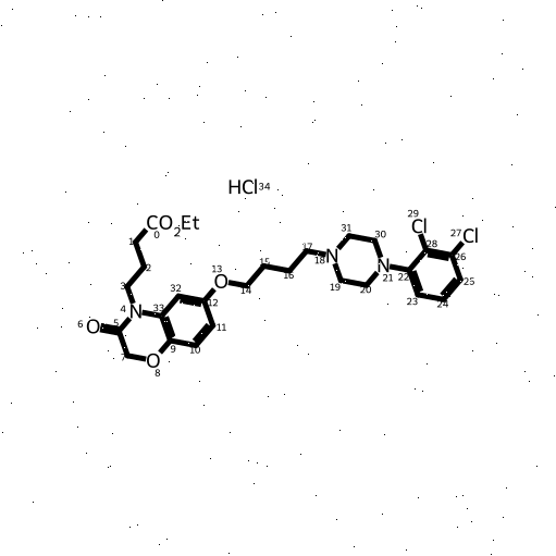 CCOC(=O)CCCN1C(=O)COc2ccc(OCCCCN3CCN(c4cccc(Cl)c4Cl)CC3)cc21.Cl